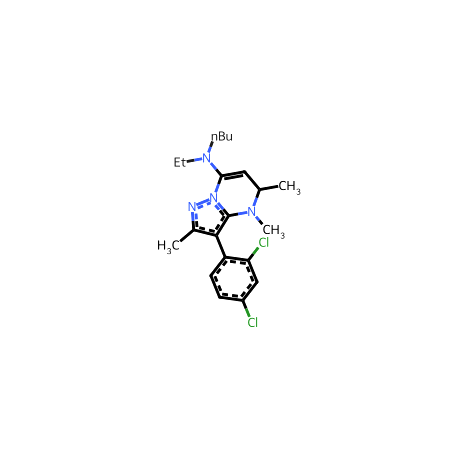 CCCCN(CC)C1=CC(C)N(C)c2c(-c3ccc(Cl)cc3Cl)c(C)nn21